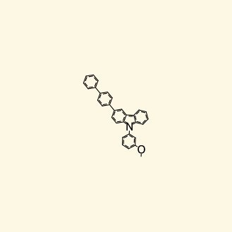 COc1cccc(-n2c3ccccc3c3cc(-c4ccc(-c5ccccc5)cc4)ccc32)c1